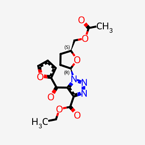 CCOC(=O)c1nnn([C@H]2CC[C@@H](COC(C)=O)O2)c1C(=O)c1ccco1